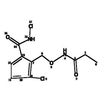 CCC(=O)NOCc1c(Cl)cccc1C(=O)NCl